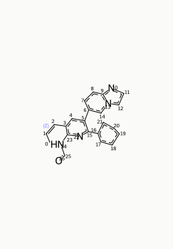 C/C=C\c1cc(-c2ccc3nccn3c2)c(-c2ccccc2)nc1NC=O